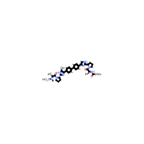 CCCc1[nH]c([C@@H]2CCCN2C(=O)[C@H](C(C)C)N(C)C(=O)O)nc1-c1ccc(-c2ccc(-c3c[nH]c(C4CCCN4C(=O)[C@@H](NC(=O)OC)C(C)C)n3)cc2)cc1